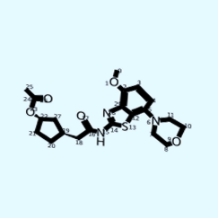 COc1ccc(N2CCOCC2)c2sc(NC(=O)C[C@H]3CC[C@@H](OC(C)=O)C3)nc12